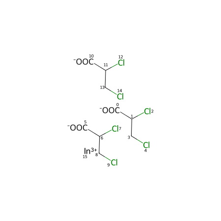 O=C([O-])C(Cl)CCl.O=C([O-])C(Cl)CCl.O=C([O-])C(Cl)CCl.[In+3]